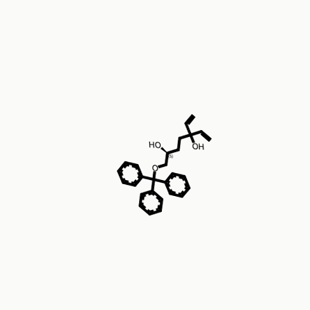 C=CC(O)(C=C)CC[C@H](O)COC(c1ccccc1)(c1ccccc1)c1ccccc1